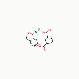 FC(F)(F)C1OCCc2ccccc21.O=C(O)c1cccc(C(=O)O)c1